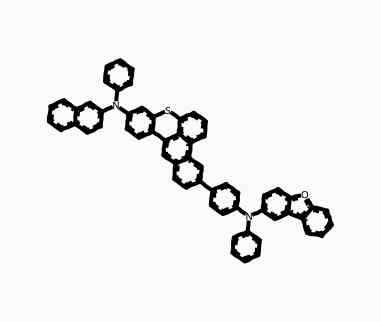 c1ccc(N(c2ccc3c(c2)Sc2cccc4c2c-3cc2ccc(-c3ccc(N(c5ccccc5)c5ccc6oc7ccccc7c6c5)cc3)cc24)c2ccc3ccccc3c2)cc1